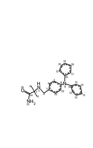 CC(C)(NCc1ccc(N(c2ccccc2)c2ccccc2)cc1)C(N)=O